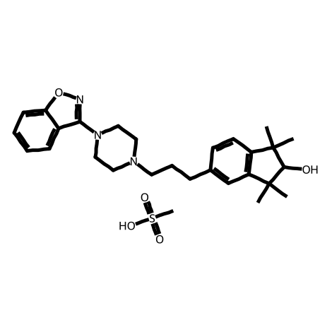 CC1(C)c2ccc(CCCN3CCN(c4noc5ccccc45)CC3)cc2C(C)(C)C1O.CS(=O)(=O)O